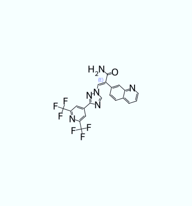 NC(=O)/C(=C/n1cnc(-c2cc(C(F)(F)F)nc(C(F)(F)F)c2)n1)c1ccc2cccnc2c1